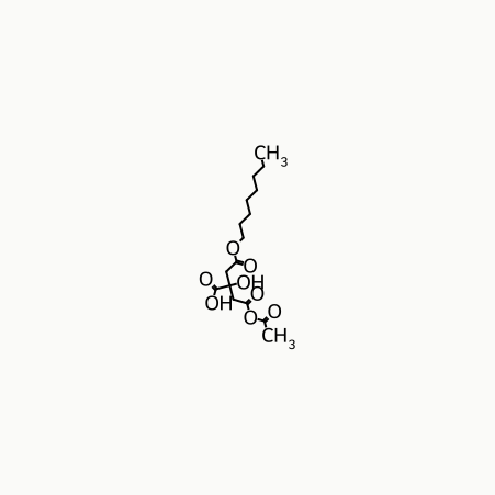 CCCCCCCCOC(=O)CC(O)(CC(=O)OC(C)=O)C(=O)O